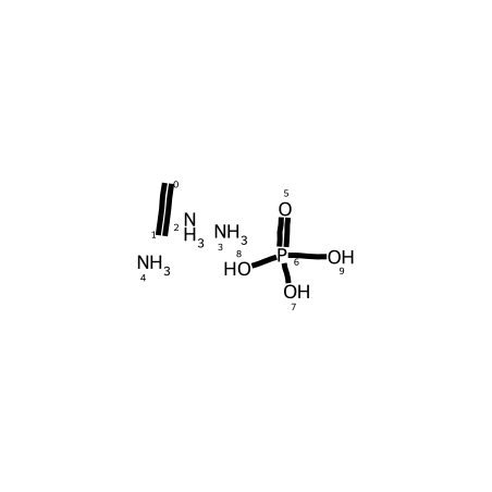 C=C.N.N.N.O=P(O)(O)O